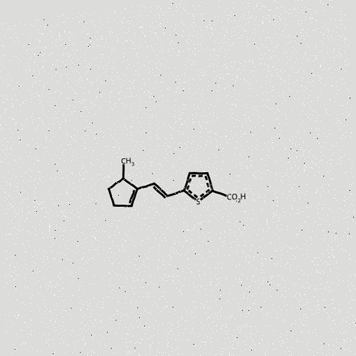 CC1CCC=C1/C=C/c1ccc(C(=O)O)s1